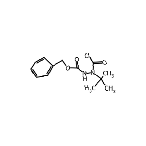 CC(C)(C)N(NC(=O)OCc1ccccc1)C(=O)Cl